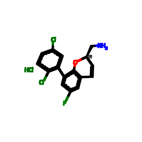 Cl.NC[C@H]1C=Cc2cc(F)cc(-c3cc(Cl)ccc3Cl)c2O1